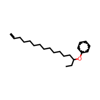 C=CCCCCCCCCCCCC(CC)Oc1ccccc1